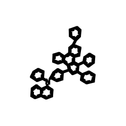 c1ccc(-c2ccc3c(c2)c2ccccc2c2c(-c4ccc(N(c5ccccc5)c5cccc6ccccc56)cc4)cc(-c4ccccc4)c(-c4ccccc4)c32)cc1